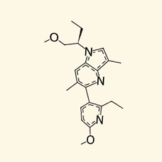 CCc1nc(OC)ccc1-c1nc2c(C)cn([C@H](CC)COC)c2cc1C